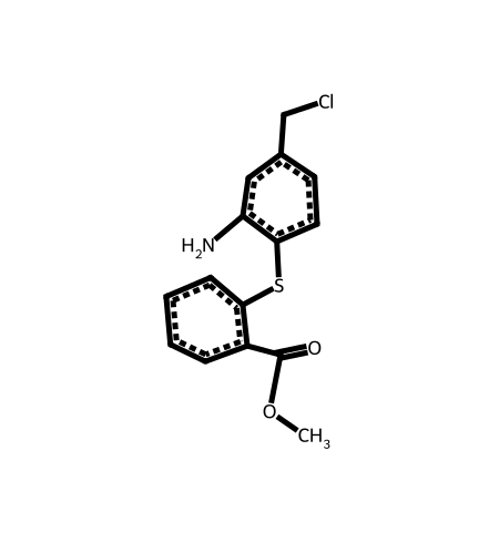 COC(=O)c1ccccc1Sc1ccc(CCl)cc1N